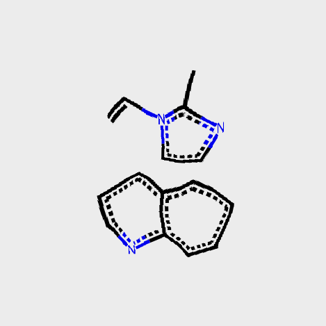 C=Cn1ccnc1C.c1ccc2ncccc2c1